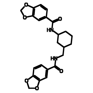 O=C(NCC1CCCC(NC(=O)c2ccc3c(c2)OCO3)C1)c1ccc2c(c1)OCO2